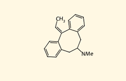 CC=C1c2ccccc2CC(NC)Cc2ccccc21